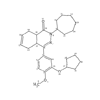 COc1ccc(C2=NN(C3CCCCCC3)C(=O)C3CC=CCC23)cc1OC1CCCC1